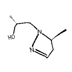 C[C@@H](O)CN1N=CC[C@@H]1C